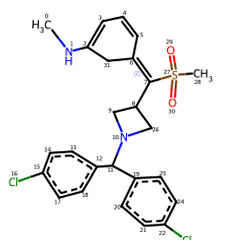 CNC1=CC=C/C(=C(/C2CN(C(c3ccc(Cl)cc3)c3ccc(Cl)cc3)C2)S(C)(=O)=O)C1